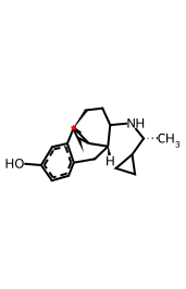 C[C@@H](NC1CC[C@]23CCCCC2[C@H]1Cc1ccc(O)cc13)C1CC1